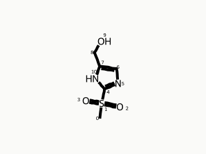 CS(=O)(=O)c1ncc(CO)[nH]1